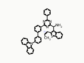 C/C=C\c1sc2ccccc2c1C(N)c1nc(-c2ccccc2)nc(-c2cccc(-c3cccc(-n4c5ccccc5c5ccccc54)c3)c2)n1